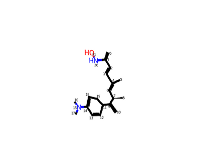 C=C(/C=C/C(C)=C/[C@@H](C)C(=C)C1C=CC(N(C)C)=CC1)NO